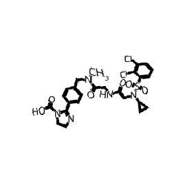 CN(Cc1ccc(C2=NCCN2C(=O)O)cc1)C(=O)CNC(=O)CN(C1CC1)S(=O)(=O)c1cccc(Cl)c1Cl